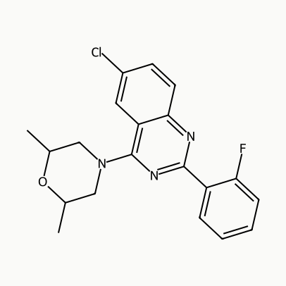 CC1CN(c2nc(-c3ccccc3F)nc3ccc(Cl)cc23)CC(C)O1